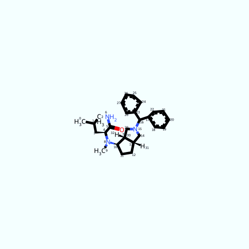 CC(C)C[C@@H](C(N)=O)N(C)[C@@H]1CC[C@H]2CN(C(c3ccccc3)c3ccccc3)C[C@H]21